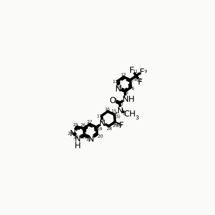 CN(C(=O)Nc1cc(C(F)(F)F)ccn1)[C@H]1CCN(c2cnc3[nH]ncc3c2)C[C@@H]1F